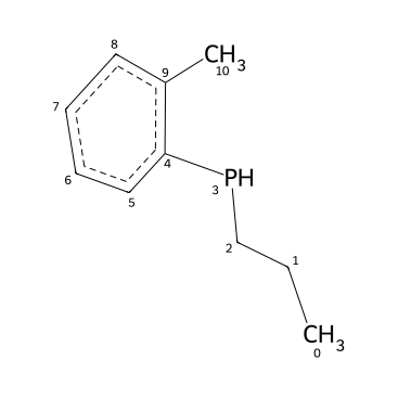 CCCPc1ccccc1C